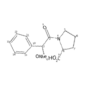 COC(C(=O)N1CCCC1C(=O)O)c1ccccc1